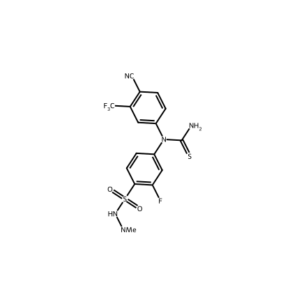 CNNS(=O)(=O)c1ccc(N(C(N)=S)c2ccc(C#N)c(C(F)(F)F)c2)cc1F